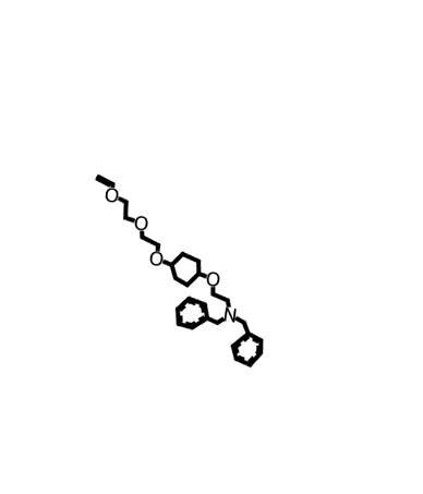 C=COCCOCCOC1CCC(OCCN(Cc2ccccc2)Cc2ccccc2)CC1